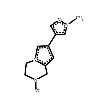 CCN1CCn2cc(-c3cnn(C)c3)cc2C1